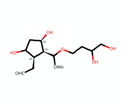 COC(OCCC(O)CO)[C@@H]1[C@H](O)CC(O)[C@@H]1CC=O